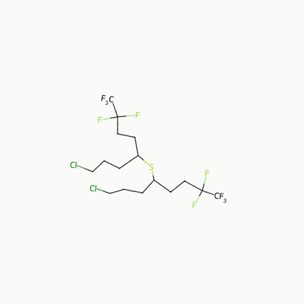 FC(F)(F)C(F)(F)CCC(CCCCl)SC(CCCCl)CCC(F)(F)C(F)(F)F